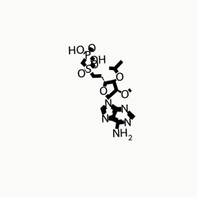 CO[C@@H]1[C@H](OC(C)C)[C@@H](CCS(=O)(=O)CP(=O)(O)O)O[C@H]1n1cnc2c(N)ncnc21